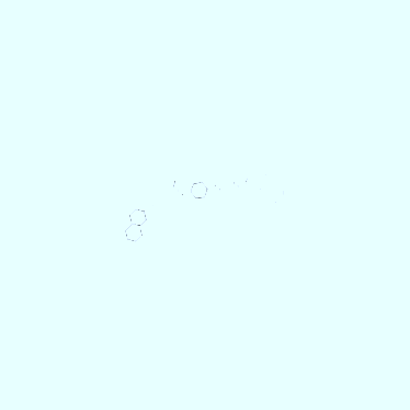 CC(C)(C)OC(=O)N1CCN(c2ccc(N3C[C@H](CSc4ccc5ccccc5c4)OC3=O)cc2F)CC1